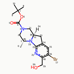 C[C@@H]1CN(C(=O)OC(C)(C)C)C[C@H]2Cc3cc(Br)c(CO)nc3N21